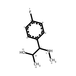 CNC(c1ccc(F)cc1)C(C)O